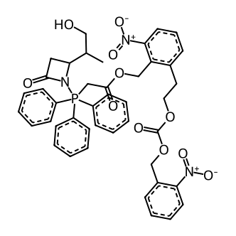 CC(CO)C1CC(=O)N1P(CC(=O)OCc1c(CCOC(=O)OCc2ccccc2[N+](=O)[O-])cccc1[N+](=O)[O-])(c1ccccc1)(c1ccccc1)c1ccccc1